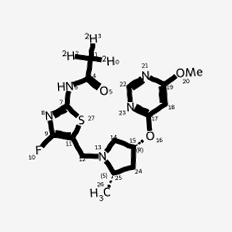 [2H]C([2H])([2H])C(=O)Nc1nc(F)c(CN2C[C@H](Oc3cc(OC)ncn3)C[C@@H]2C)s1